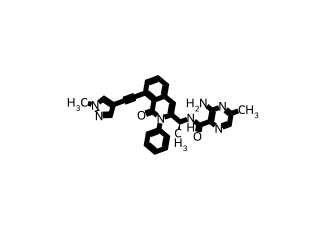 Cc1cnc(C(=O)N[C@H](C)c2cc3cccc(C#Cc4cnn(C)c4)c3c(=O)n2-c2ccccc2)c(N)n1